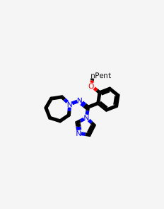 CCCCCOc1ccccc1C(=NN1CCCCCC1)n1ccnc1